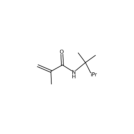 C=C(C)C(=O)NC(C)(C)C(C)C